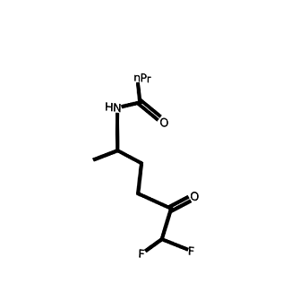 CCCC(=O)NC(C)CCC(=O)C(F)F